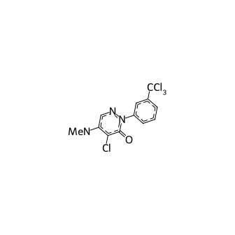 CNc1cnn(-c2cccc(C(Cl)(Cl)Cl)c2)c(=O)c1Cl